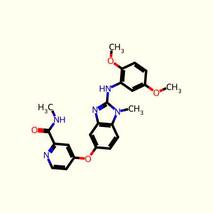 CNC(=O)c1cc(Oc2ccc3c(c2)nc(Nc2cc(OC)ccc2OC)n3C)ccn1